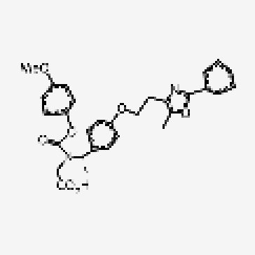 COc1ccc(OC(=O)N(CC(=O)O)[C@@H](C)c2ccc(OCCc3nc(-c4ccccc4)oc3C)cc2)cc1